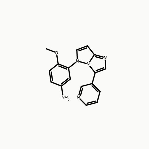 COc1ccc(N)cc1-n1ccc2ncc(-c3cccnc3)n21